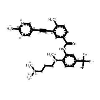 Cc1ccc(C(=O)Nc2cc(C(F)(F)F)ccc2N(C)CCCN(C)C)cc1C#Cc1cnc(N)nc1